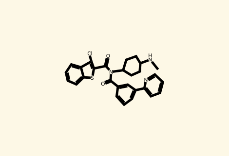 CNC1CCC(N(C(=O)c2cccc(-c3ccccn3)c2)C(=O)c2sc3ccccc3c2Cl)CC1